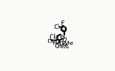 COc1nc(C(=O)Cl)c2c(c1OC)C(=O)N(Cc1ccc(F)c(Cl)c1)CC2